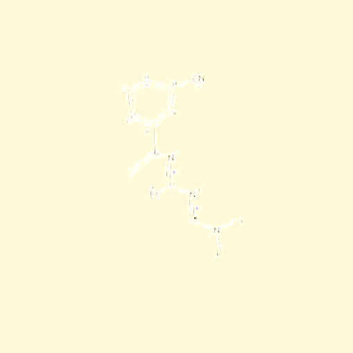 C=C(/N=C(CC)/N=C/N(C)C)c1cccc(C#N)c1